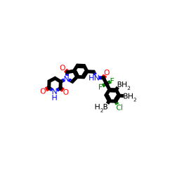 Bc1cc(C(F)(F)C(=O)NCc2ccc3c(c2)CN(C2CCC(=O)NC2=O)C3=O)c(B)c(B)c1Cl